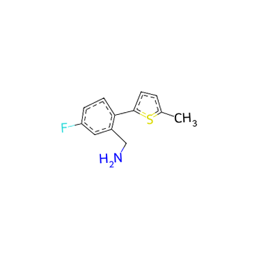 Cc1ccc(-c2ccc(F)cc2CN)s1